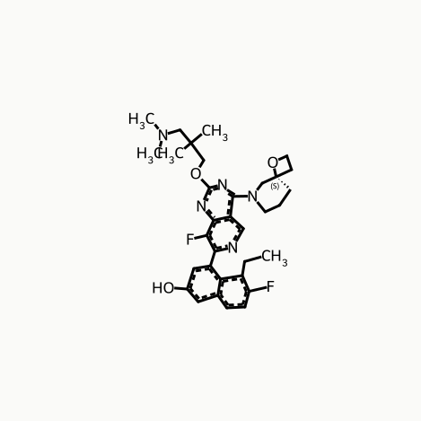 CCc1c(F)ccc2cc(O)cc(-c3ncc4c(N5CCC[C@]6(CCO6)C5)nc(OCC(C)(C)CN(C)C)nc4c3F)c12